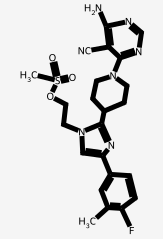 Cc1cc(-c2cn(CCOS(C)(=O)=O)c(C3CCN(c4ncnc(N)c4C#N)CC3)n2)ccc1F